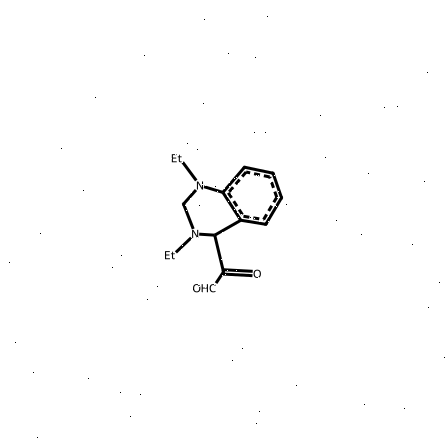 CCN1CN(CC)C(C(=O)C=O)c2ccccc21